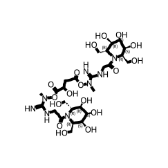 CN(OC(=O)CC(O)C(=O)ON(C)C(=N)NCC(=O)N1[C@H](CO)[C@H](O)[C@H](O)[C@H](O)[C@H]1CO)C(=N)NCC(=O)N1[C@H](CO)[C@H](O)[C@H](O)[C@H](O)[C@H]1CO